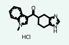 Cl.Cn1cc(C(=O)C2CCc3[nH]cnc3C2)c2ccccc21